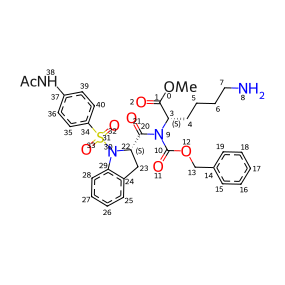 COC(=O)[C@H](CCCCN)N(C(=O)OCc1ccccc1)C(=O)[C@@H]1Cc2ccccc2N1S(=O)(=O)c1ccc(NC(C)=O)cc1